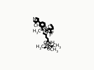 CCS(=O)(=O)N(NC(=O)CCCCN([C@@H](C)c1cccc(-c2ccncc2C)c1)S(=O)(=O)c1ccccc1C(F)(F)F)C(C)C